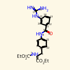 CCOC(=O)NC(Cc1ccc(NC(=O)c2cccc(NC(=N)N)c2)cc1)C(=O)OCC